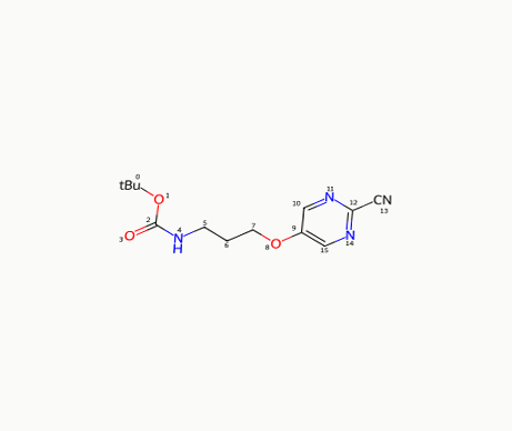 CC(C)(C)OC(=O)NCCCOc1cnc(C#N)nc1